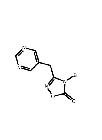 CCn1c(Cc2cncnc2)noc1=O